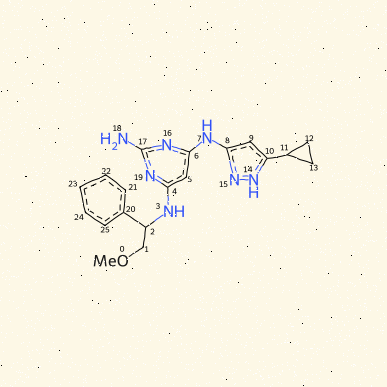 COCC(Nc1cc(Nc2cc(C3CC3)[nH]n2)nc(N)n1)c1ccccc1